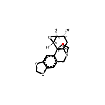 O[C@@H]1C[C@H]2N3CC[C@@]2(c2cc4c(cc2C3)OCO4)[C@H]2O[C@@H]12